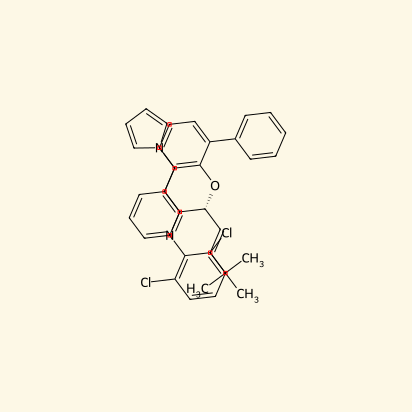 CC(C)(C)/C=C/[C@@H](Oc1c(-c2ccccc2)cccc1-c1ccccc1)/C(CCn1cccc1)=N\c1c(Cl)cccc1Cl